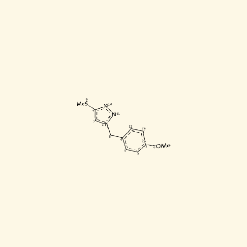 COc1ccc(Cn2cc(SC)nn2)cc1